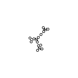 c1ccc(N(c2ccccc2)c2ccc(-c3ccc(N(c4ccc(-c5ccc(-c6ccc7c(c6)c6ccccc6n7-c6ccccc6)cc5)cc4)c4ccc5c6ccccc6c6ccccc6c5c4)cc3)c3ccccc23)cc1